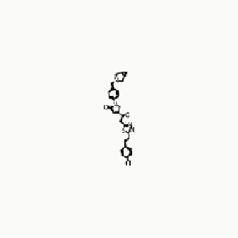 O=C(Cc1nnc(CCc2ccc(Cl)cc2)s1)[C@H]1CC(=O)N(c2ccc(CN3CC4CC4C3)cc2)C1